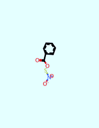 O=C(OS[N+](=O)[O-])c1ccccc1